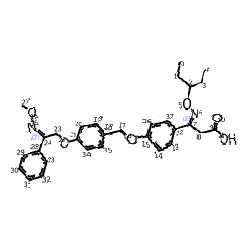 CCC(CC)O/N=C(/CC(=O)O)c1ccc(OCc2ccc(OC/C(=N\OC)c3ccccc3)cc2)cc1